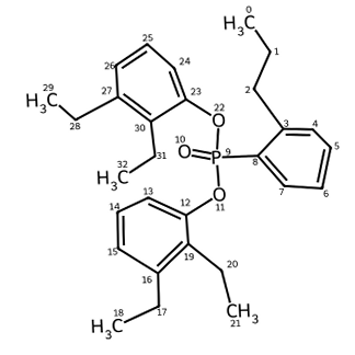 CCCc1ccccc1P(=O)(Oc1cccc(CC)c1CC)Oc1cccc(CC)c1CC